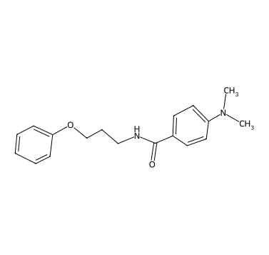 CN(C)c1ccc(C(=O)NCCCOc2ccccc2)cc1